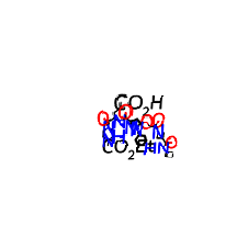 CCOC(=O)N1CCN(C(=O)C(CCC(=O)O)NC(=O)c2cc(OCC(=O)N3CC(C(=O)NC4CCC4)C3)n(-c3ccccc3)n2)CC1